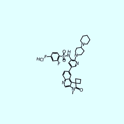 CN1C(=O)C2(CCC2)c2c1cnc1ccc(-c3cnc(N4CCC(N5CCCCC5)CC4)c(NS(=O)(=O)c4ccc(F)cc4F)c3)cc21.Cl